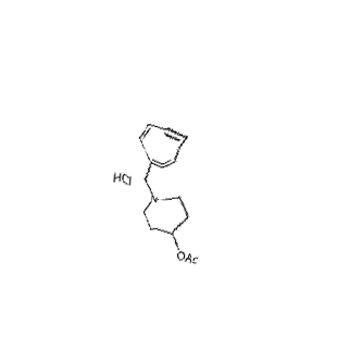 CC(=O)OC1CCN(Cc2ccccc2)CC1.Cl